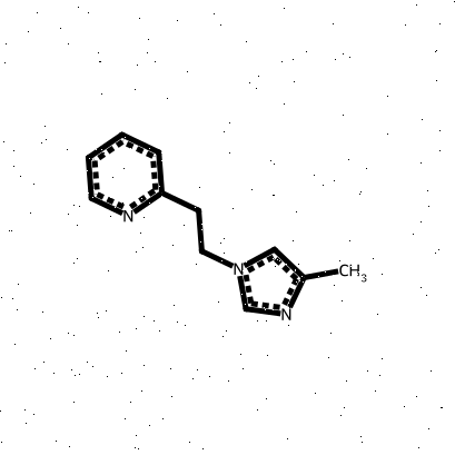 Cc1cn(CCc2ccccn2)cn1